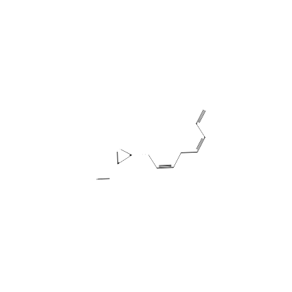 C=C/C=C\C/C=C\C[C@H]1O[C@H]1CO